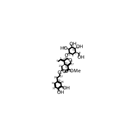 C/C=C1/[C@H](O[C@@H]2C[C@H](CO)[C@@H](O)[C@H](O)[C@H]2O)OC=C(C(=O)OC)[C@H]1CC(=O)OCCc1ccc(O)c(O)c1